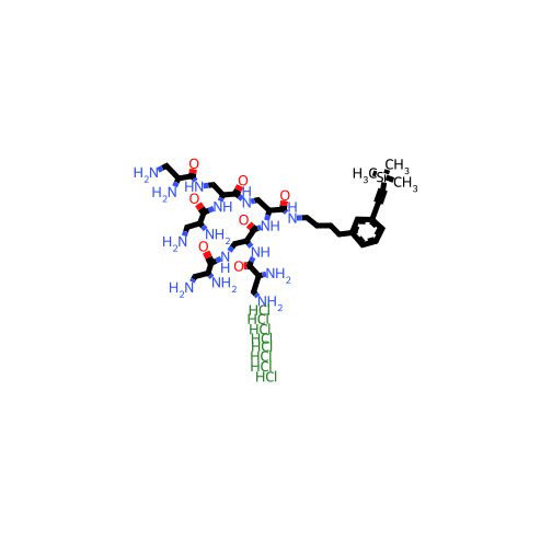 C[Si](C)(C)C#Cc1cccc(CCCCNC(=O)C(CNC(=O)C(CNC(=O)C(N)CN)NC(=O)C(N)CN)NC(=O)C(CNC(=O)C(N)CN)NC(=O)C(N)CN)c1.Cl.Cl.Cl.Cl.Cl.Cl.Cl.Cl